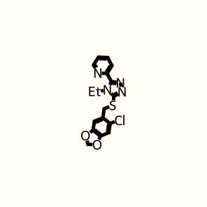 CCn1c(SCc2cc3c(cc2Cl)OCO3)nnc1-c1ccccn1